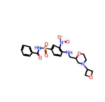 O=C(NS(=O)(=O)c1ccc(NCC2CN(C3COC3)CCO2)c([N+](=O)[O-])c1)c1ccccc1